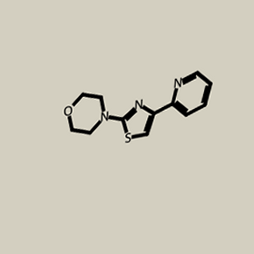 c1ccc(-c2csc(N3CCOCC3)n2)nc1